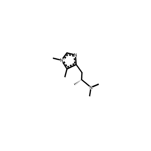 Cc1c(C[C@@H](C)N(C)C)ncn1C